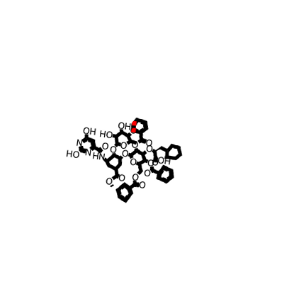 COC(=O)C1CC(NC(=O)c2cc(O)nc(O)n2)C(OC2OC(C)C(OC)C(O)C2O)C(OC2OC(COC(=O)c3ccccc3)C(OC(=O)c3ccccc3)C(O[C@@H](CC3CCCCC3)C(=O)O)C2OC(=O)c2ccccc2)C1